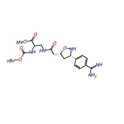 CCCCOC(=O)NC(CNC(=O)C[C@H]1C[C@@H](c2ccc(C(=N)N)cc2)NO1)C(=O)OC